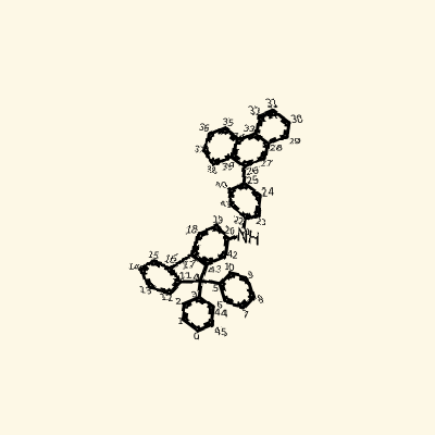 c1ccc(C2(c3ccccc3)c3ccccc3-c3ccc(Nc4ccc(-c5cc6ccccc6c6ccccc56)cc4)cc32)cc1